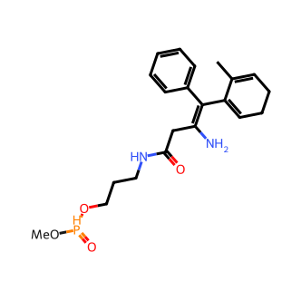 CO[PH](=O)OCCCNC(=O)C/C(N)=C(/C1=CCCC=C1C)c1ccccc1